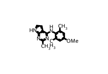 COc1cc(C)c(Nc2nc(C)nc3[nH]ccc23)c(C)c1